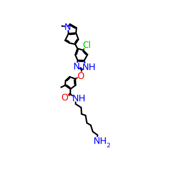 Cc1ccc(Oc2nc3cc(-c4ccc5c(ccn5C)c4)c(Cl)cc3[nH]2)cc1C(=O)NCCCCCCCCN